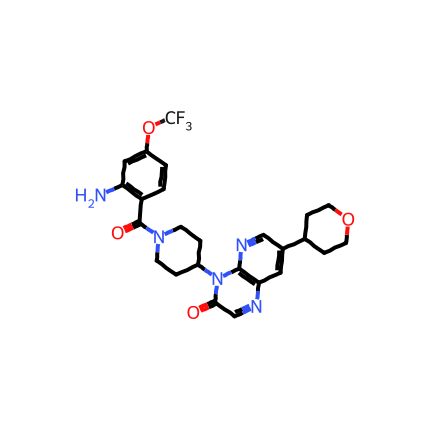 Nc1cc(OC(F)(F)F)ccc1C(=O)N1CCC(n2c(=O)cnc3cc(C4CCOCC4)cnc32)CC1